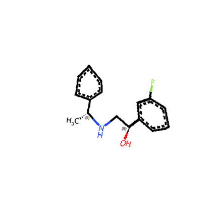 C[C@@H](NC[C@H](O)c1cccc(F)c1)c1ccccc1